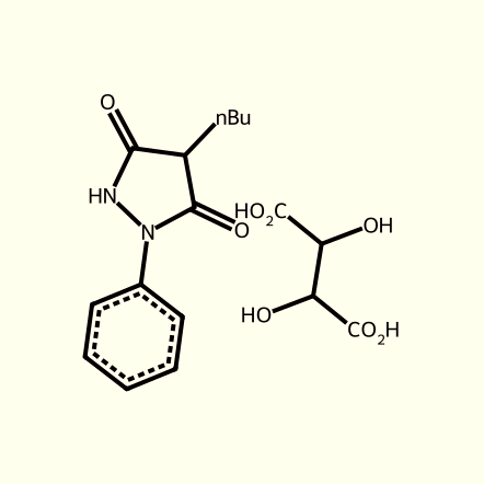 CCCCC1C(=O)NN(c2ccccc2)C1=O.O=C(O)C(O)C(O)C(=O)O